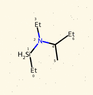 CC[SiH2]N(CC)C(C)CC